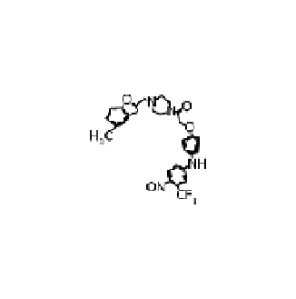 Cc1ccc2c(c1)CC(CN1CCN(C(=O)COc3ccc(Nc4ccc(N=O)c(C(F)(F)F)c4)cc3)CC1)O2